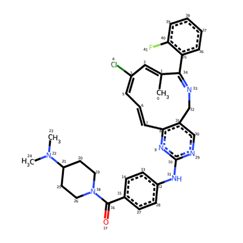 CC1=C\C(Cl)=C/C=C/c2nc(Nc3ccc(C(=O)N4CCC(N(C)C)CC4)cc3)ncc2C/N=C\1c1ccccc1F